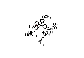 CCCCCC(=O)NNCC(=O)NCC(=O)O.COc1ccc(C(OC(CCCNP(O)O)OC)(c2ccccc2)c2ccccc2)cc1